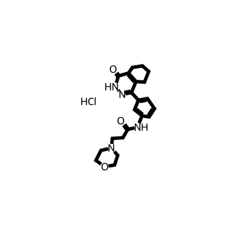 Cl.O=C(CCN1CCOCC1)Nc1cccc(-c2n[nH]c(=O)c3c2CCCC3)c1